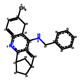 CC1=CC=c2nc3c(c(NCc4ccccc4)c2C1)=CC1CCC3C1